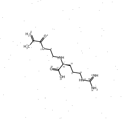 C=C(C)C(=O)OCCN[C@@H](CCCNC(=N)N)C(=O)O